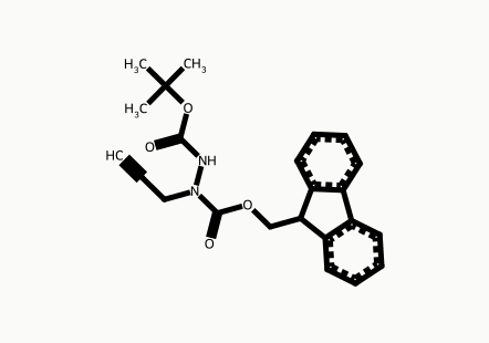 C#CCN(NC(=O)OC(C)(C)C)C(=O)OCC1c2ccccc2-c2ccccc21